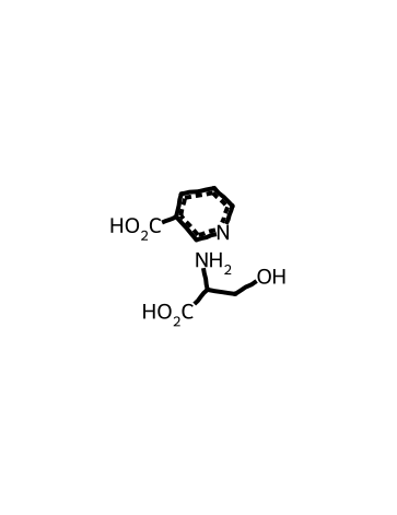 NC(CO)C(=O)O.O=C(O)c1cccnc1